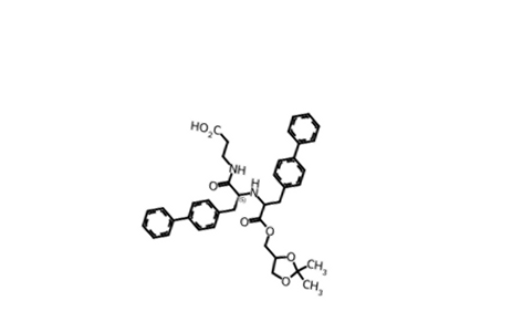 CC1(C)OCC(COC(=O)C(Cc2ccc(-c3ccccc3)cc2)N[C@@H](Cc2ccc(-c3ccccc3)cc2)C(=O)NCCC(=O)O)O1